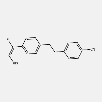 CCC/C=C(/F)c1ccc(CCc2ccc(C#N)cc2)cc1